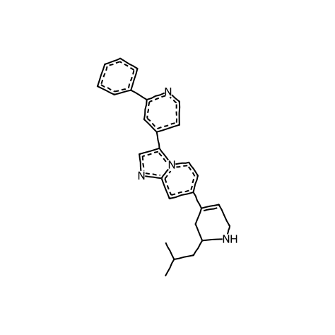 CC(C)CC1CC(c2ccn3c(-c4ccnc(-c5ccccc5)c4)cnc3c2)=CCN1